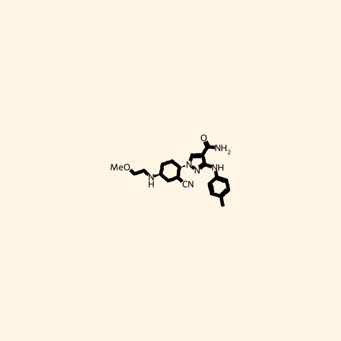 COCCN[C@H]1CC[C@H](n2cc(C(N)=O)c(Nc3ccc(C)cc3)n2)C(C#N)C1